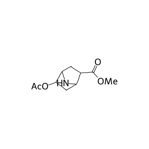 COC(=O)C1CC2NC1CC2OC(C)=O